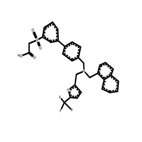 O=C(O)CS(=O)(=O)c1cccc(-c2ccc(CN(Cc3ccc(C(F)(F)F)o3)Cc3cccc4ccccc34)cc2)c1